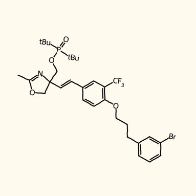 CC1=NC(/C=C/c2ccc(OCCCc3cccc(Br)c3)c(C(F)(F)F)c2)(COP(=O)(C(C)(C)C)C(C)(C)C)CO1